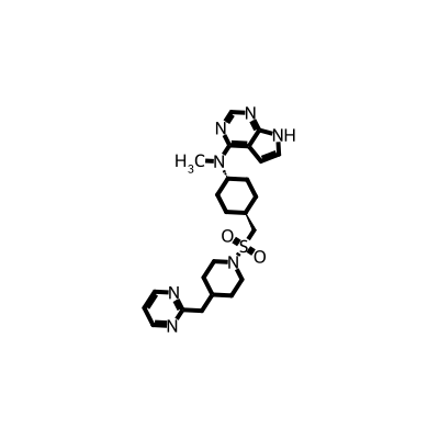 CN(c1ncnc2[nH]ccc12)[C@H]1CC[C@H](CS(=O)(=O)N2CCC(Cc3ncccn3)CC2)CC1